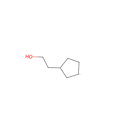 OCCC1C[CH]CC1